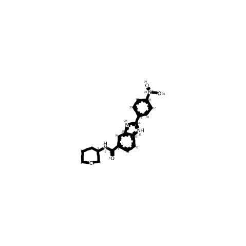 O=C(NC1CCCCC1)c1ccc2[nH]c(-c3ccc([N+](=O)[O-])cc3)nc2c1